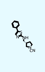 N#CN1CC[C@@H](CNc2ncc(-c3ccccc3)s2)C1